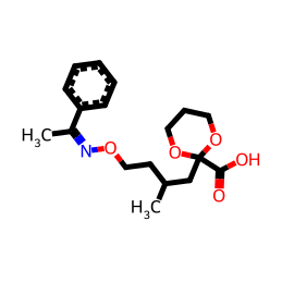 CC(=NOCCC(C)CC1(C(=O)O)OCCCO1)c1ccccc1